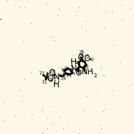 COc1cc(N)c(C(=O)Nc2ccc(CCNC(=O)OC(C)(C)C)cc2)cc1OC